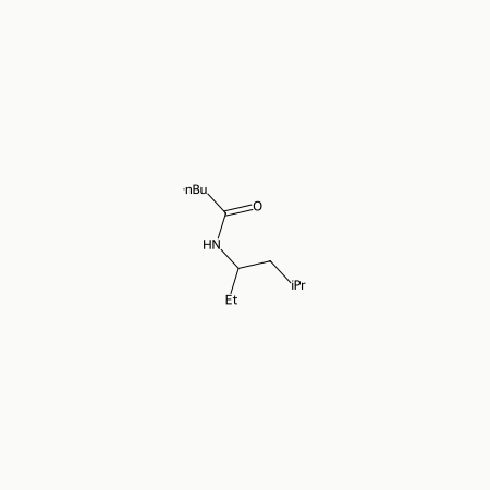 CCC[CH]C(=O)NC(CC)CC(C)C